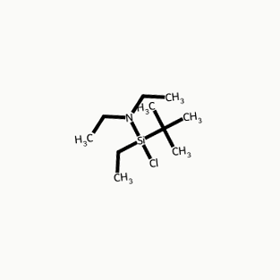 CCN(CC)[Si](Cl)(CC)C(C)(C)C